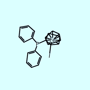 I[C]12[CH]3[CH]4[CH]5[C]1(P(c1ccccc1)c1ccccc1)[Fe]43521678[CH]2[CH]1[CH]6[CH]7[CH]28